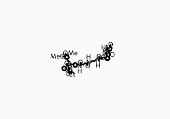 CCC(C)(C)C(=O)C(=O)N1CCCC[C@H]1C(=O)O[C@H](CCc1ccc(OC)c(OC)c1)c1ccc(NC(=O)CCC(=O)NCCCCNC(=O)COc2cccc3c2C(=O)N(C2CCC(=O)NC2=O)C3=O)cc1